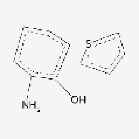 Nc1ccccc1O.c1ccsc1